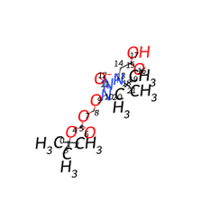 CC(C)(C)OC(=O)OCON=[N+]([O-])N(CC(=O)O)C(C)(C)C